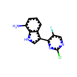 Nc1cccc2c(-c3nc(Cl)ncc3F)c[nH]c12